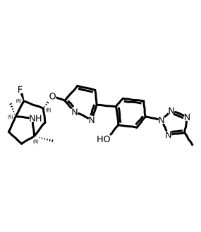 Cc1nnn(-c2ccc(-c3ccc(O[C@@H]4C[C@@]5(C)CC[C@](C)(N5)[C@H]4F)nn3)c(O)c2)n1